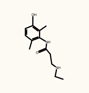 CCNCCC(=O)Nc1c(C)ccc(O)c1C